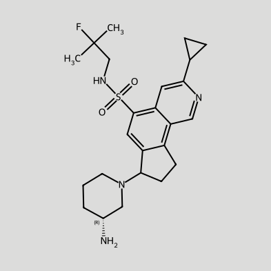 CC(C)(F)CNS(=O)(=O)c1cc2c(c3cnc(C4CC4)cc13)CCC2N1CCC[C@@H](N)C1